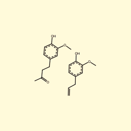 C=CCc1ccc(O)c(OC)c1.COc1cc(CCC(C)=O)ccc1O